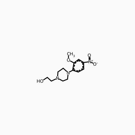 COc1cc([N+](=O)[O-])ccc1N1CCN(CCO)CC1